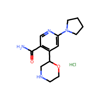 Cl.NC(=O)c1cnc(N2CCCC2)cc1C1CNCCO1